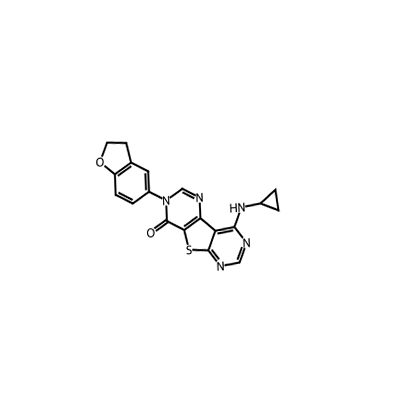 O=c1c2sc3ncnc(NC4CC4)c3c2ncn1-c1ccc2c(c1)CCO2